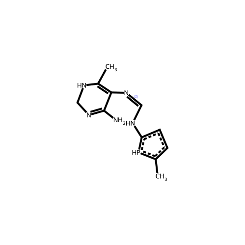 CC1=C(/N=C\Nc2ccc(C)[pH]2)C(N)=NCN1